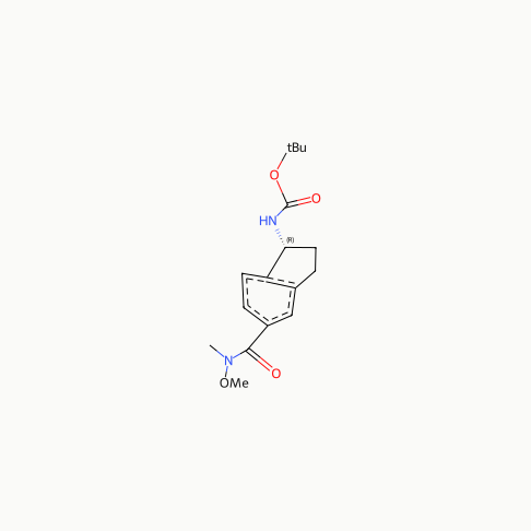 CON(C)C(=O)c1ccc2c(c1)CC[C@H]2NC(=O)OC(C)(C)C